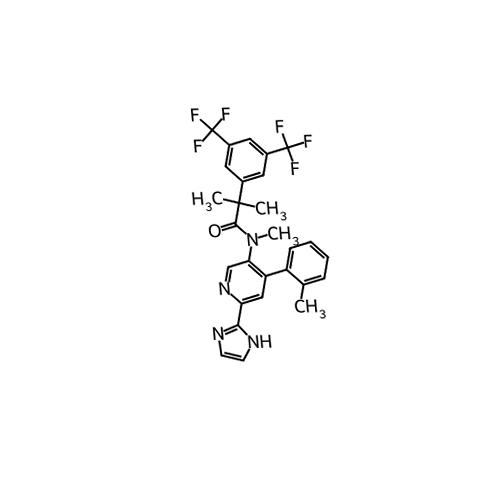 Cc1ccccc1-c1cc(-c2ncc[nH]2)ncc1N(C)C(=O)C(C)(C)c1cc(C(F)(F)F)cc(C(F)(F)F)c1